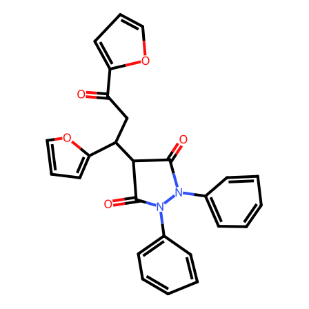 O=C(CC(c1ccco1)C1C(=O)N(c2ccccc2)N(c2ccccc2)C1=O)c1ccco1